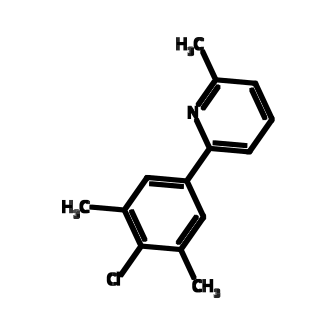 Cc1cccc(-c2cc(C)c(Cl)c(C)c2)n1